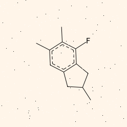 Cc1cc2c(c(F)c1C)CC(C)C2